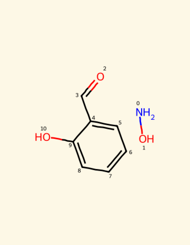 NO.O=Cc1ccccc1O